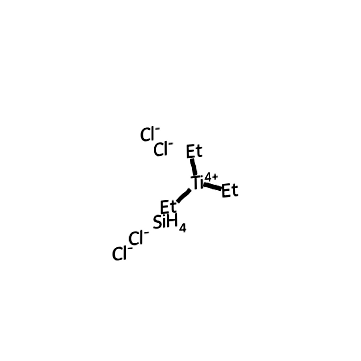 C[CH2][Ti+4]([CH2]C)[CH2]C.[Cl-].[Cl-].[Cl-].[Cl-].[SiH4]